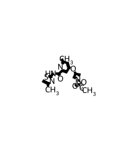 CCS(=O)(=O)N1CC(Oc2cc(C)nc(C(=O)Nc3nc(C)cs3)c2)C1